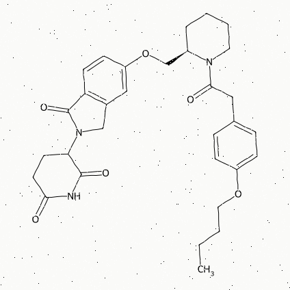 CCCCOc1ccc(CC(=O)N2CCCC[C@@H]2COc2ccc3c(c2)CN(C2CCC(=O)NC2=O)C3=O)cc1